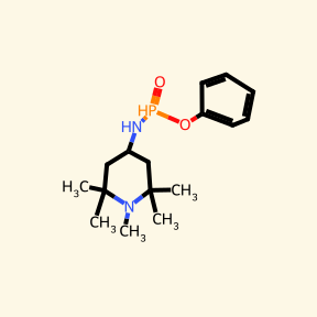 CN1C(C)(C)CC(N[PH](=O)Oc2ccccc2)CC1(C)C